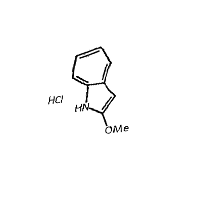 COc1cc2ccccc2[nH]1.Cl